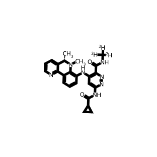 [2H]C([2H])([2H])NC(=O)c1nnc(NC(=O)C2CC2)cc1Nc1cccc2c1N(C)[C@@H](C)c1cccnc1-2